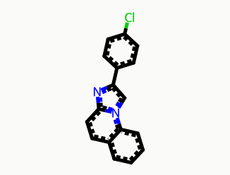 Clc1ccc(-c2cn3c(ccc4ccccc43)n2)cc1